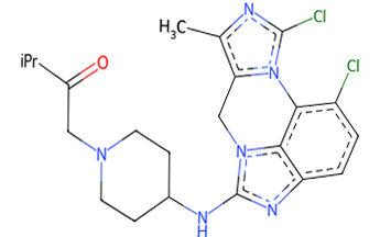 Cc1nc(Cl)n2c1Cn1c(NC3CCN(CC(=O)C(C)C)CC3)nc3ccc(Cl)c-2c31